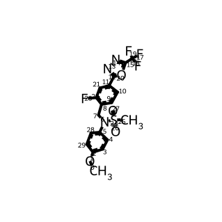 COc1ccc(N(Cc2ccc(-c3nnc(C(F)(F)F)o3)cc2F)S(C)(=O)=O)cc1